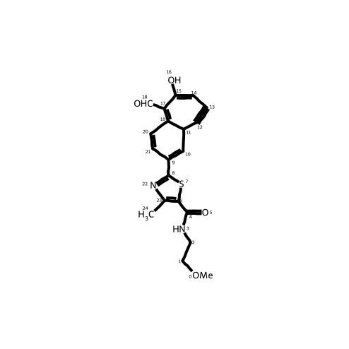 COCCNC(=O)c1sc(C2=CC3C#CC=C(O)C(C=O)=C3C=C2)nc1C